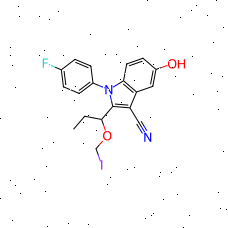 CCC(OCI)c1c(C#N)c2cc(O)ccc2n1-c1ccc(F)cc1